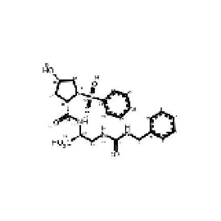 O=C(NCc1ccccc1)NC[C@H](NC(=O)[C@@H]1C[C@@H](O)CN1S(=O)(=O)c1ccccc1)C(=O)O